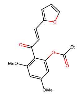 CCC(=O)Oc1cc(OC)cc(OC)c1C(=O)C=Cc1ccco1